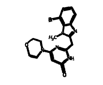 Cn1c(Cc2nc(N3CCOCC3)cc(=O)[nH]2)nc2cccc(Br)c21